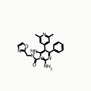 Cc1cc(-c2c(-c3ccccc3)nc(N)[n+]3c(=O)n(Cc4ncco4)[nH]c23)cc(C)n1